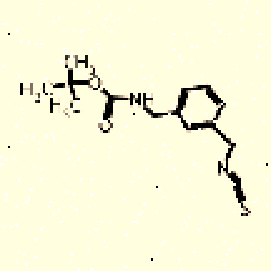 CC(C)(C)OC(=O)NCc1cccc(CN=C=S)c1